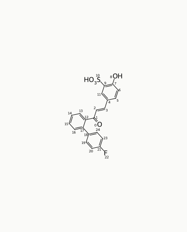 O=C(C=Cc1ccc(O)c(S(=O)(=O)O)c1)c1ccccc1-c1ccc(F)cc1